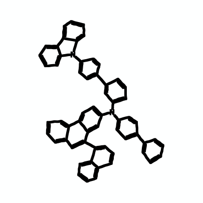 c1ccc(-c2ccc(N(c3cccc(-c4ccc(-n5c6ccccc6c6ccccc65)cc4)c3)c3ccc4c(c3)c(-c3cccc5ccccc35)cc3ccccc34)cc2)cc1